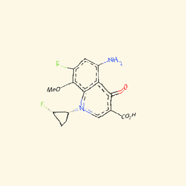 COc1c(F)cc(N)c2c(=O)c(C(=O)O)cn([C@@H]3C[C@@H]3F)c12